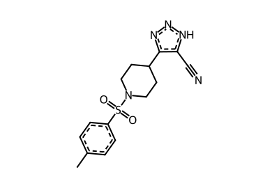 Cc1ccc(S(=O)(=O)N2CCC(c3nn[nH]c3C#N)CC2)cc1